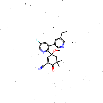 CCc1cncc(-c2cc(F)cnc2C2(OC)C=C(C#N)C(=O)C(C)(C)C2)c1